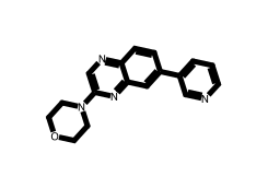 c1cncc(-c2ccc3ncc(N4CCOCC4)nc3c2)c1